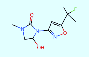 CN1CC(O)N(c2cc(C(C)(C)F)on2)C1=O